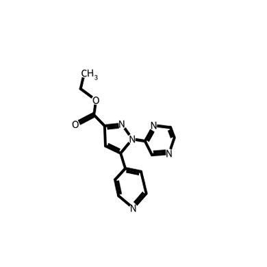 CCOC(=O)c1cc(-c2ccncc2)n(-c2cnccn2)n1